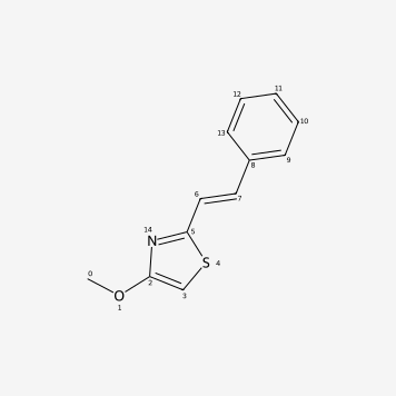 COc1csc(C=Cc2ccccc2)n1